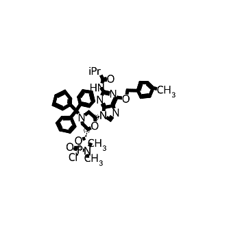 Cc1ccc(COc2nc(NC(=O)C(C)C)nc3c2ncn3[C@H]2CN(C(c3ccccc3)(c3ccccc3)c3ccccc3)C[C@@H](CO[P@@](=O)(Cl)N(C)C)O2)cc1